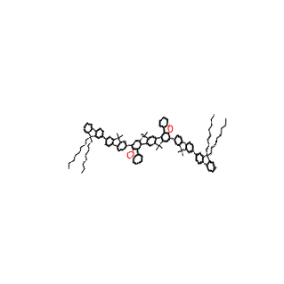 CCCCCCCCC1(CCCCCCCC)c2ccccc2-c2ccc(-c3ccc4c(c3)C(C)(C)c3cc(-c5cc6c(c7c5oc5ccccc57)-c5cc7c(cc5C6(C)C)-c5c(cc(-c6ccc8c(c6)C(C)(C)c6cc(-c9ccc%10c(c9)C(CCCCCCCC)(CCCCCCCC)c9ccccc9-%10)ccc6-8)c6oc8ccccc8c56)C7(C)C)ccc3-4)cc21